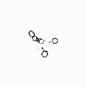 O=C(OC1C(OC(O)c2ccccc2)C2C3c4ccccc4CC3C1C21CC1)c1ccccc1